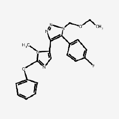 CCOCn1nnc(-c2cnc(Oc3ccccc3)n2C)c1-c1ccc(F)cc1